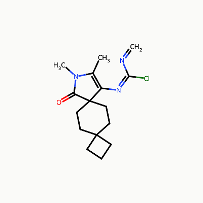 C=N/C(Cl)=N\C1=C(C)N(C)C(=O)C12CCC1(CCC1)CC2